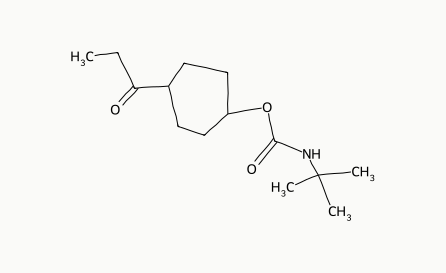 CCC(=O)C1CCC(OC(=O)NC(C)(C)C)CC1